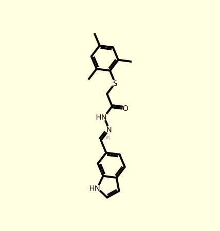 Cc1cc(C)c(SCC(=O)N/N=C/c2ccc3cc[nH]c3c2)c(C)c1